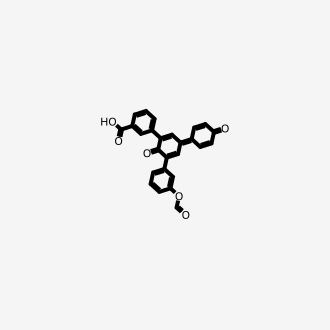 O=COc1cccc(C2=CC(=C3C=CC(=O)C=C3)C=C(c3cccc(C(=O)O)c3)C2=O)c1